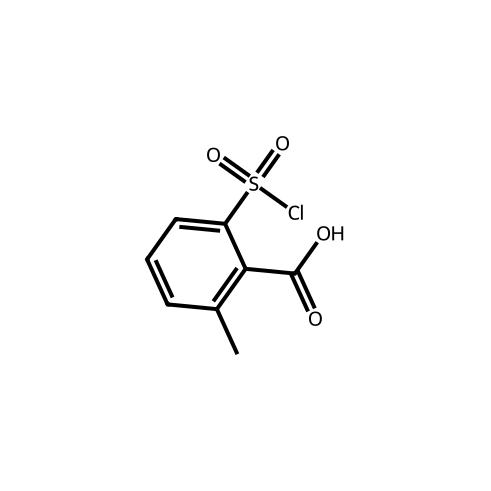 Cc1cccc(S(=O)(=O)Cl)c1C(=O)O